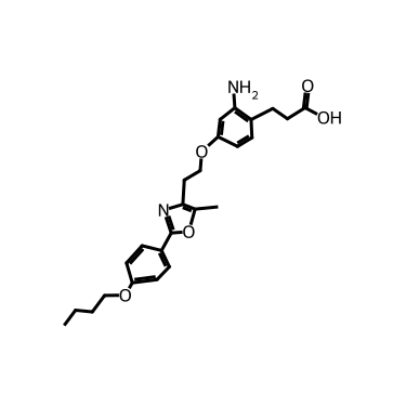 CCCCOc1ccc(-c2nc(CCOc3ccc(CCC(=O)O)c(N)c3)c(C)o2)cc1